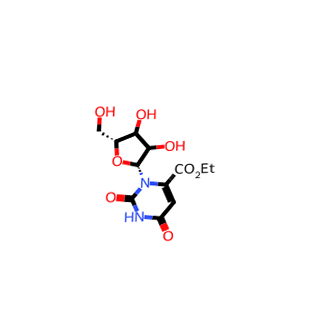 CCOC(=O)c1cc(=O)[nH]c(=O)n1[C@@H]1O[C@H](CO)C(O)C1O